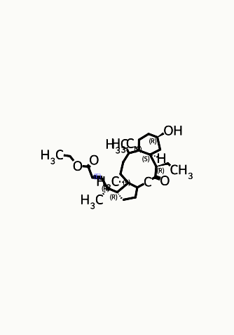 CCOC(=O)/C=C/[C@@H](C)[C@H]1CCC2CC(=O)[C@H](CC)[C@@H]3C[C@H](O)CC[C@]3(C)C(C)CC[C@@]21C